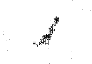 Cc1ccc(C(=O)Nc2nc(COc3ccc(CCCCn4ccnn4)cc3)cs2)cc1